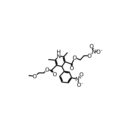 COCCOC(=O)C1=C(C)NC(C)=C(C(=O)OCCO[N+](=O)[O-])C1c1cccc([N+](=O)[O-])c1